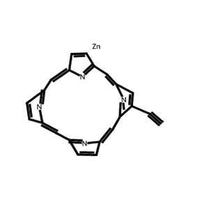 C#CC1=CC2=CC3=NC(=CC4=NC(=CC5=NC(=CC1=N2)C=C5)C=C4)C=C3.[Zn]